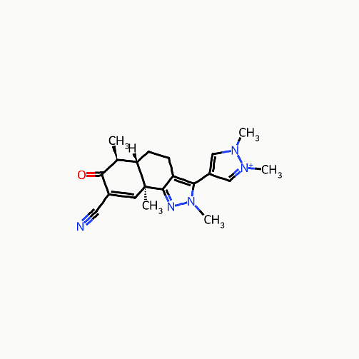 C[C@@H]1C(=O)C(C#N)=C[C@]2(C)c3nn(C)c(-c4cn(C)[n+](C)c4)c3CC[C@@H]12